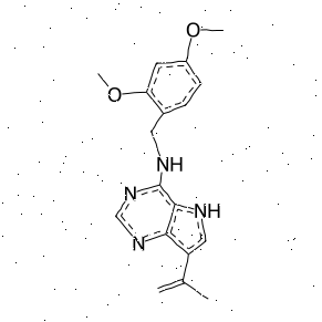 C=C(C)c1c[nH]c2c(NCc3ccc(OC)cc3OC)ncnc12